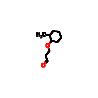 CC1CCCCC1OCCC=O